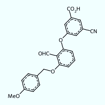 COc1ccc(COc2cccc(Oc3cc(C#N)cc(C(=O)O)c3)c2C=O)cc1